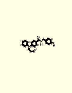 CSc1ccc(CNC(=O)c2ccc3c(c2)OCCCN3c2ccccc2)cc1